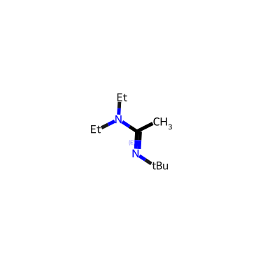 CCN(CC)/C(C)=N/C(C)(C)C